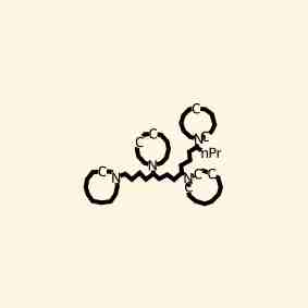 CCCC(CCCC(CCCC(CCCCN1CCCCCCCCCCC1)N1CCCCCCCCCCC1)N1CCCCCCCCCCC1)N1CCCCCCCCCCC1